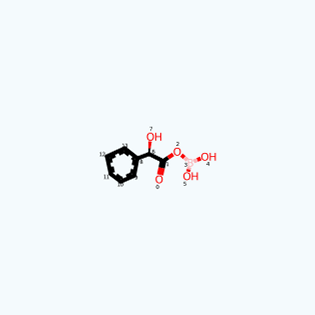 O=C(OB(O)O)[C@H](O)c1ccccc1